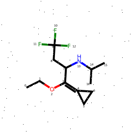 CCOC(=C1CC1)C(CC(F)(F)F)NC(C)C